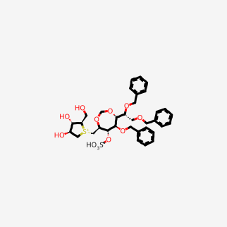 O=S(=O)(O)O[C@H]1[C@H](OCc2ccccc2)[C@@H]([C@@H](COCc2ccccc2)OCc2ccccc2)OCO[C@@H]1C[S@+]1C[C@@H](O)[C@H](O)[C@H]1CO